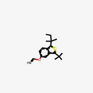 B=COc1ccc2c(C(C)(C)CC)sc(C(C)(C)C)c2c1